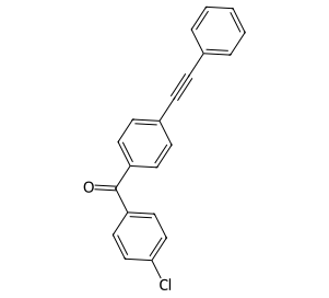 O=C(c1ccc(Cl)cc1)c1ccc(C#Cc2ccccc2)cc1